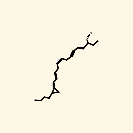 CCCCC1C/C1=C\C=C\C/C=C\CC#C/C=C/C(CC)OP